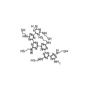 Nc1nc(NCCS)nc(-c2nc(NCCS)nc(-c3nc(NCCS)nc(-c4nc(NCCS)nc(-c5nc(NCCS)nc(-c6nc(N)nc(NCCS)n6)n5)n4)n3)n2)n1